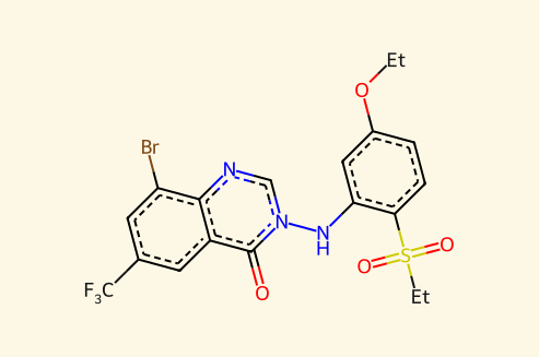 CCOc1ccc(S(=O)(=O)CC)c(Nn2cnc3c(Br)cc(C(F)(F)F)cc3c2=O)c1